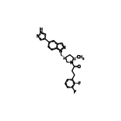 C[C@H]1C[C@@H](Cn2ncc3cc(-c4cn[nH]c4)ccc32)CN1C(=O)CCc1cccc(F)c1F